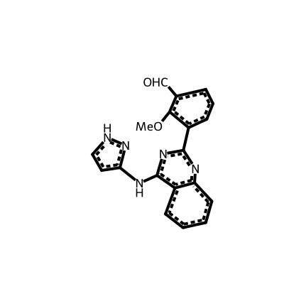 COc1c(C=O)cccc1-c1nc(Nc2cc[nH]n2)c2ccccc2n1